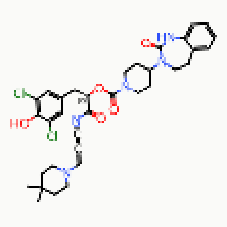 CC1(C)CCN(C=C=C=NC(=O)[C@@H](Cc2cc(Cl)c(O)c(Cl)c2)OC(=O)N2CCC(N3CCc4ccccc4NC3=O)CC2)CC1